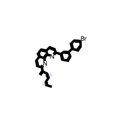 C=C(/C=C\C=C/C)c1ccc2ccc3ccc(-c4cccc(-c5ccc(Br)cc5)c4)nc3c2n1